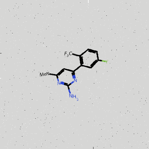 CNc1cc(-c2cc(F)ccc2C(F)(F)F)nc(N)n1